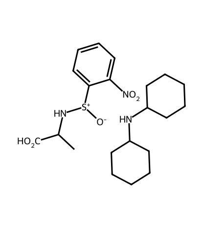 C1CCC(NC2CCCCC2)CC1.CC(N[S+]([O-])c1ccccc1[N+](=O)[O-])C(=O)O